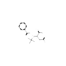 CC(C)(C)N(OC(=O)c1ccccc1)C(CC(=O)O)C(=O)O